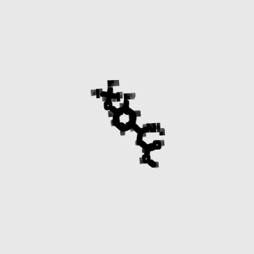 COC(=O)CC(N)c1ccc(OC(F)(F)F)c(F)c1